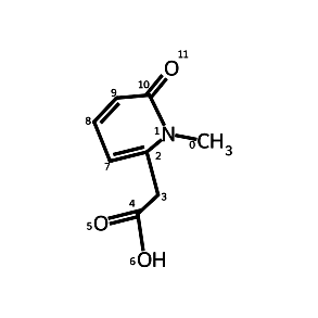 Cn1c(CC(=O)O)cccc1=O